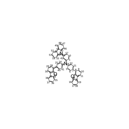 c1cc(N(c2ccc(-c3cccc4c3oc3ccccc34)cc2)c2ccc(-c3cccc4c3oc3ccccc34)cc2)cc(-n2c3ccccc3c3ccccc32)c1